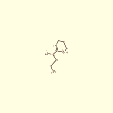 CCN(CCC(C)C)C1=NCCCN1